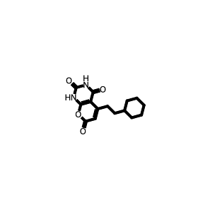 O=c1[nH]c(=O)c2c(CCC3CCCCC3)cc(=O)oc2[nH]1